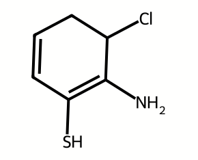 NC1=C(S)C=CCC1Cl